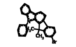 CC1(C)c2cc(Br)ccc2-c2ccc3c4ccccc4n(-c4ccccc4)c3c21